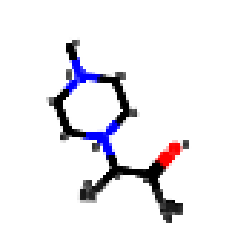 CCC(C(=O)C(C)(C)C)N1CCN(C)CC1